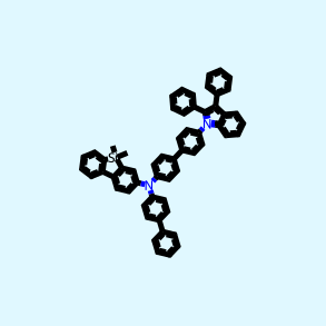 C[Si]1(C)c2ccccc2-c2ccc(N(c3ccc(-c4ccccc4)cc3)c3ccc(-c4ccc(-n5c(-c6ccccc6)c(-c6ccccc6)c6ccccc65)cc4)cc3)cc21